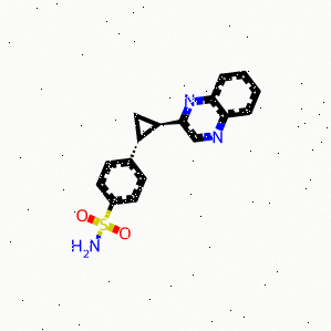 NS(=O)(=O)c1ccc([C@@H]2C[C@H]2c2cnc3ccccc3n2)cc1